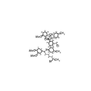 COc1ccc(C(CCCCC(C)Br)Sc2ccc(C)cc2)cc1OC.COc1cccc(C(C#N)(Cc2cccc(CCl)c2)Sc2ccc(C)cc2)c1OC